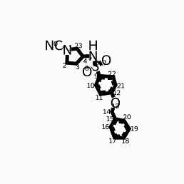 N#CN1CCC(NS(=O)(=O)c2ccc(OCc3ccccc3)cc2)C1